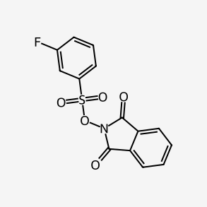 O=C1c2ccccc2C(=O)N1OS(=O)(=O)c1cccc(F)c1